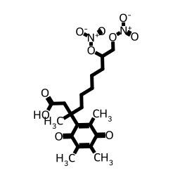 CC1=C(C)C(=O)C(C(C)(CCCCCC(CO[N+](=O)[O-])O[N+](=O)[O-])CC(=O)O)=C(C)C1=O